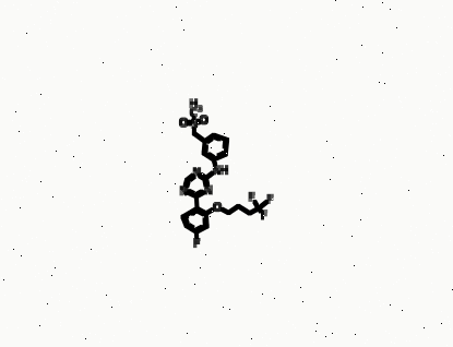 CS(=O)(=O)Cc1cccc(Nc2ncnc(-c3ccc(F)cc3OCCCC(F)(F)F)n2)c1